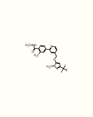 CNC(=O)c1ccc(-c2cc(COc3cc(C(F)(F)I)nn3C)ccn2)cc1C